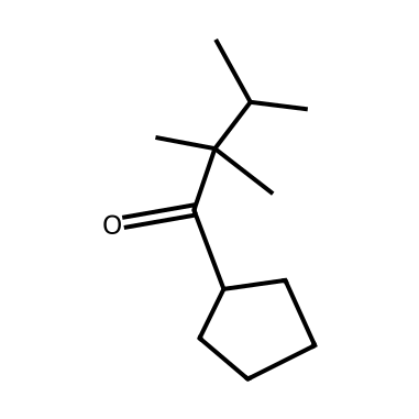 CC(C)C(C)(C)C(=O)C1CCCC1